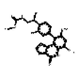 COc1cc(C)c2[nH]c(=O)c3sccc3c2c1-c1ccc(C(CNC(=O)OC(C)(C)C)C(C)C)c(F)c1